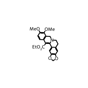 CCOC(=O)C1=C2c3cc4c(cc3CCN2Cc2c1ccc(OC)c2OC)OCO4